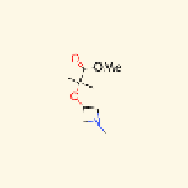 COC(=O)C(C)(C)OC1CN(C)C1